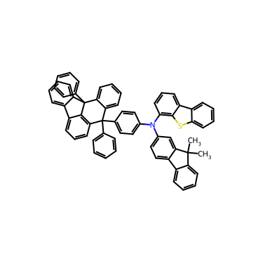 CC1(C)c2ccccc2-c2ccc(N(c3ccc(C4(c5ccccc5)c5ccccc5C5(c6ccccc6)c6ccccc6-c6cccc4c65)cc3)c3cccc4c3sc3ccccc34)cc21